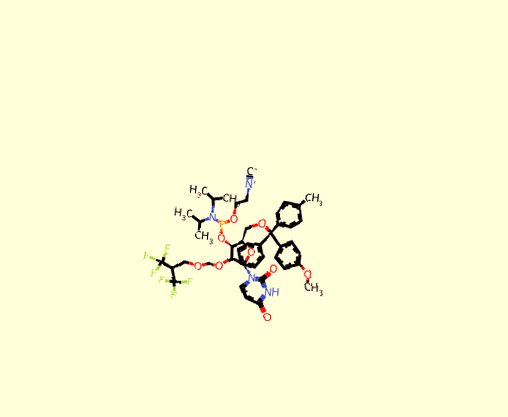 [C-]#[N+]CCOP(O[C@@H]1C(OCOCC(C(F)(F)F)C(F)(F)F)[C@H](n2ccc(=O)[nH]c2=O)O[C@@H]1COC(c1ccccc1)(c1ccc(C)cc1)c1ccc(OC)cc1)N(C(C)C)C(C)C